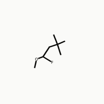 COC(F)CC(C)(C)C